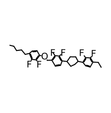 CCCCCc1ccc(OCc2ccc(C3CCC(c4ccc(CC)c(F)c4F)CC3)c(F)c2F)c(F)c1F